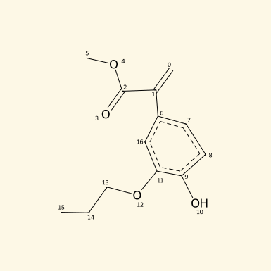 C=C(C(=O)OC)c1ccc(O)c(OCCC)c1